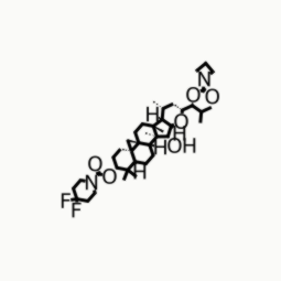 CC(C)[C@@H](OC(=O)N1CCC1)[C@H]1C[C@@H](C)[C@H]2[C@H](O1)[C@H](O)[C@@]1(C)[C@@H]3CC[C@H]4C(C)(C)[C@@H](OC(=O)N5CCC(F)(F)CC5)CC[C@@]45C[C@@]35CC[C@]21C